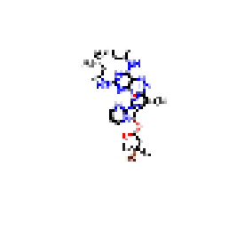 CCC(S)(CC)CC(=O)OCCCNc1nc(NC(C)COC)nc(NC(C)COC)c1/N=N\c1nn(-c2ncccn2)cc1C#N